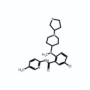 Cc1ccc(NC(=O)c2cc(Cl)ccc2N(C)C2CCN(C3CCSC3)CC2)nc1